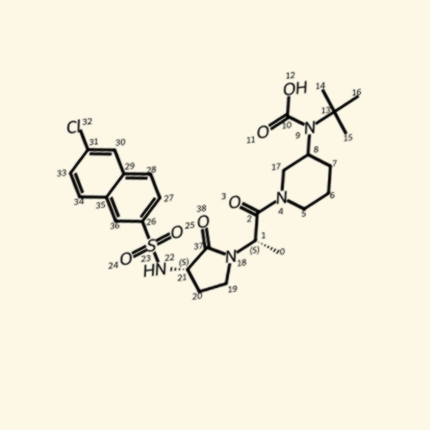 C[C@@H](C(=O)N1CCCC(N(C(=O)O)C(C)(C)C)C1)N1CC[C@H](NS(=O)(=O)c2ccc3cc(Cl)ccc3c2)C1=O